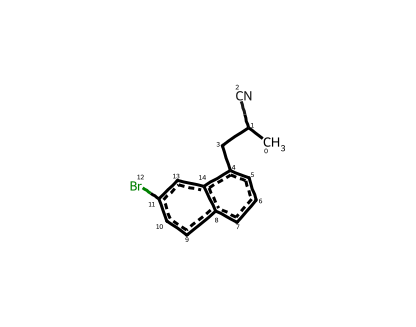 CC(C#N)Cc1cccc2ccc(Br)cc12